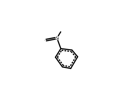 [CH]=[Si](C)c1ccccc1